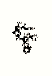 BC(B)(B)n1cc(Nc2ncc3cc(C#N)n([C@@H](C)COC)c3n2)c(OC2COC[C@@]2(C)O)n1